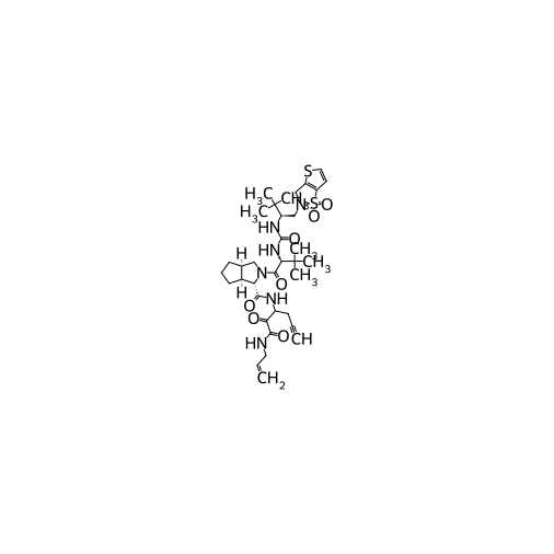 C#CCC(NC(=O)[C@@H]1[C@H]2CCC[C@H]2CN1C(=O)[C@@H](NC(=O)N[C@H](CN1Cc2sccc2S1(=O)=O)C(C)(C)C)C(C)(C)C)C(=O)C(=O)NCC=C